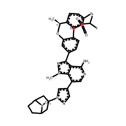 C[C@H](Oc1cc(-c2nn(C)c3c(-c4cnn(C5CC6CCC(C5)N6C)c4)cnc(N)c23)ccc1NS(=O)(=O)C(F)F)c1ccc(F)cc1